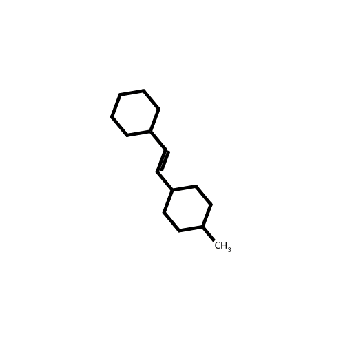 CC1CCC(/C=C/C2CCCCC2)CC1